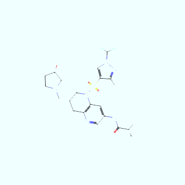 Cc1nn(C(F)F)cc1S(=O)(=O)N1C[C@@H](CN2CC[C@@H](O)C2)Cc2ncc(NC(=O)[C@@H](C)C(C)(C)C)cc21